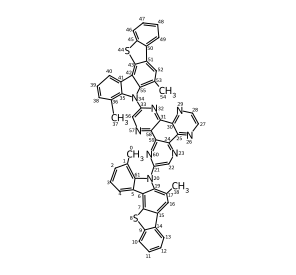 Cc1cccc2c3c4sc5ccccc5c4cc(C)c3n(-c3cnc4c5nccnc5c5nc(-n6c7c(C)cccc7c7c8sc9ccccc9c8cc(C)c76)cnc5c4n3)c12